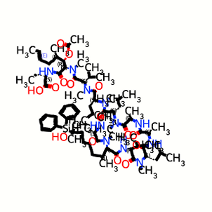 C/C=C/C[C@@H](C)[C@@H](OC(C)=O)[C@@H](C(=O)N[C@@H](CC)C(=O)O)N(C)C(=O)[C@H](C(C)C)N(C)C(=O)[C@H](CC(C)C)N(C)C(=O)[C@H](CC(C)C)N(C)C(=O)[C@@H](C)NC(=O)[C@H](C)NC(=O)[C@H](CC(C)C)N(C)C(=O)[C@H](NC(=O)[C@@H]([C@@H](C)CCCCC(C)(C)[Si](O)(c1ccccc1)c1ccccc1)N(C)C(=O)[C@H](C)NC)C(C)C